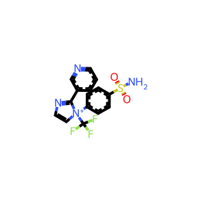 NS(=O)(=O)c1ccc([N+]2(C(F)(F)F)C=CN=C2c2cccnc2)cc1